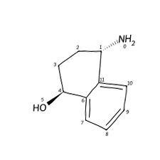 N[C@H]1CC[C@H](O)c2ccccc21